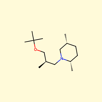 C[C@@H]1CC[C@H](C)N(C[C@@H](C)COC(C)(C)C)C1